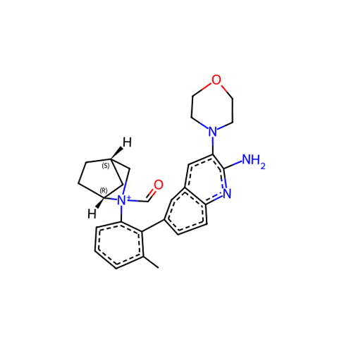 Cc1cccc([N+]2(C=O)C[C@H]3CC[C@@H]2C3)c1-c1ccc2nc(N)c(N3CCOCC3)cc2c1